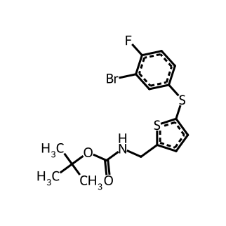 CC(C)(C)OC(=O)NCc1ccc(Sc2ccc(F)c(Br)c2)s1